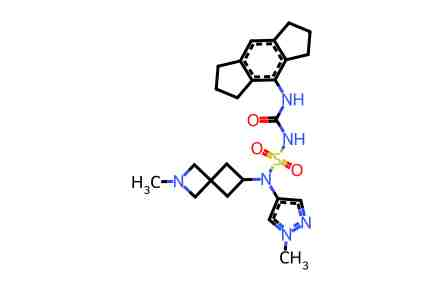 CN1CC2(CC(N(c3cnn(C)c3)S(=O)(=O)NC(=O)Nc3c4c(cc5c3CCC5)CCC4)C2)C1